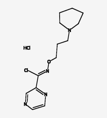 Cl.ClC(=NOCCCN1CCCCC1)c1cnccn1